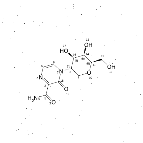 NC(=O)c1nccn([C@H]2CO[C@H](CO)[C@H](O)[C@@H]2O)c1=O